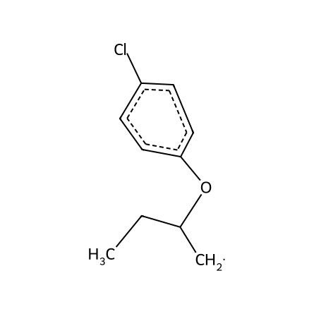 [CH2]C(CC)Oc1ccc(Cl)cc1